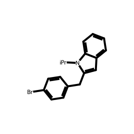 CC(C)n1c(Cc2ccc(Br)cc2)cc2ccccc21